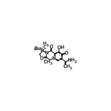 C=C(N)c1cn2c(c(O)c1=O)C(=O)N1[C@@](C)(C2)OC[C@]1(C)[C@@H](C)CC